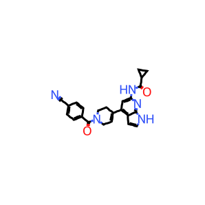 N#Cc1ccc(C(=O)N2CC=C(c3cc(NC(=O)C4CC4)nc4[nH]ccc34)CC2)cc1